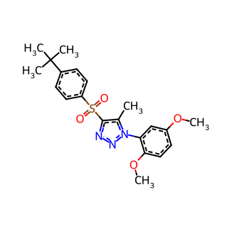 COc1ccc(OC)c(-n2nnc(S(=O)(=O)c3ccc(C(C)(C)C)cc3)c2C)c1